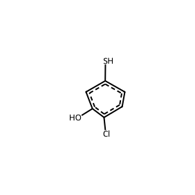 Oc1cc(S)ccc1Cl